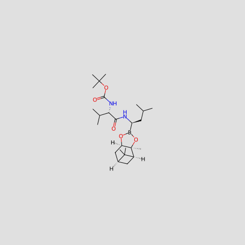 CC(C)C[C@H](NC(=O)[C@@H](NC(=O)OC(C)(C)C)C(C)C)B1O[C@@H]2C[C@@H]3C[C@@H](C3(C)C)[C@]2(C)O1